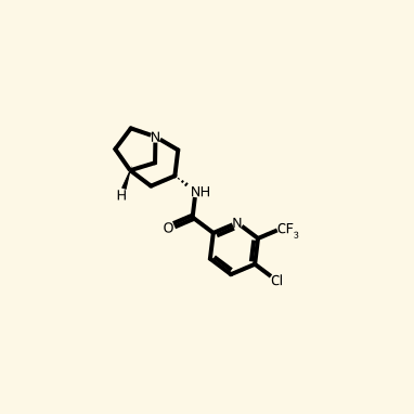 O=C(N[C@@H]1C[C@@H]2CCN(C2)C1)c1ccc(Cl)c(C(F)(F)F)n1